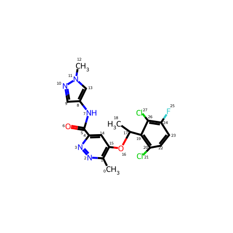 Cc1nnc(C(=O)Nc2cnn(C)c2)cc1OC(C)c1c(Cl)ccc(F)c1Cl